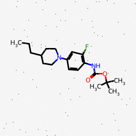 CCCC1CCN(c2ccc(NC(=O)OC(C)(C)C)c(F)c2)CC1